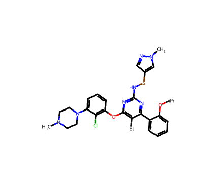 CCc1c(Oc2cccc(N3CCN(C)CC3)c2Cl)nc(NSc2cnn(C)c2)nc1-c1ccccc1OC(C)C